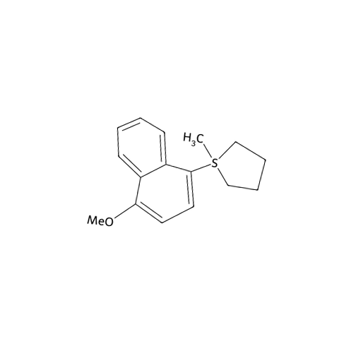 COc1ccc(S2(C)CCCC2)c2ccccc12